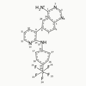 Nc1ncnc2ccc(-c3cccnc3Nc3ccc(S(F)(F)(F)(F)F)cc3)cc12